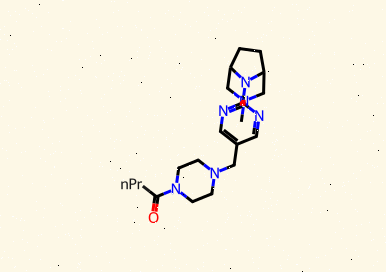 CCCC(=O)N1CCN(Cc2cnc(N3C4CCC3CN(C)C4)nc2)CC1